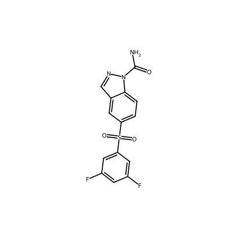 NC(=O)n1n[c]c2cc(S(=O)(=O)c3cc(F)cc(F)c3)ccc21